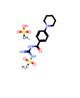 CS(=O)(=O)NC(=N)NC(=O)c1ccc(N2CCCCC2)cc1.CS(=O)(=O)O